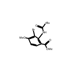 COC(=O)c1ccc(OC)c(Br)c1NC(=O)C(C)(C)C